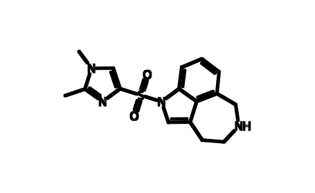 Cc1nc(S(=O)(=O)n2cc3c4c(cccc42)CNCC3)cn1C